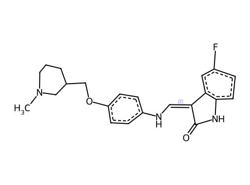 CN1CCCC(COc2ccc(N/C=C3\C(=O)Nc4ccc(F)cc43)cc2)C1